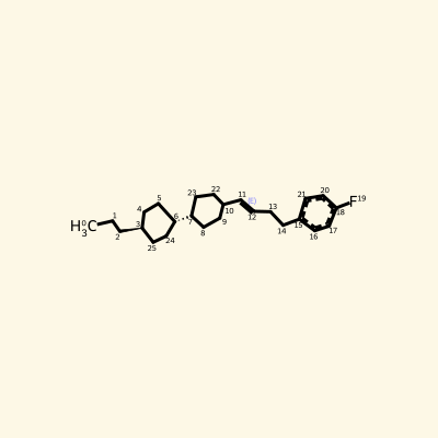 CCC[C@H]1CC[C@H](C2CCC(/C=C/CCc3ccc(F)cc3)CC2)CC1